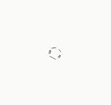 B1N=NN=N1